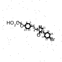 O=C(O)COc1ccc(SCn2ncn(-c3ccc(Br)cc3)c2=O)cc1